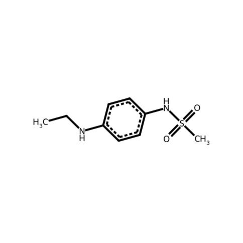 CCNc1ccc(NS(C)(=O)=O)cc1